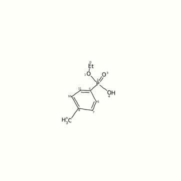 CCOP(=O)(O)c1ccc(C)cc1